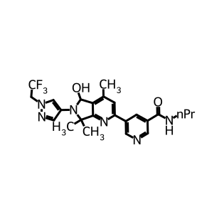 CCCNC(=O)c1cncc(-c2cc(C)c3c(n2)C(C)(C)N(c2cnn(CC(F)(F)F)c2)C3O)c1